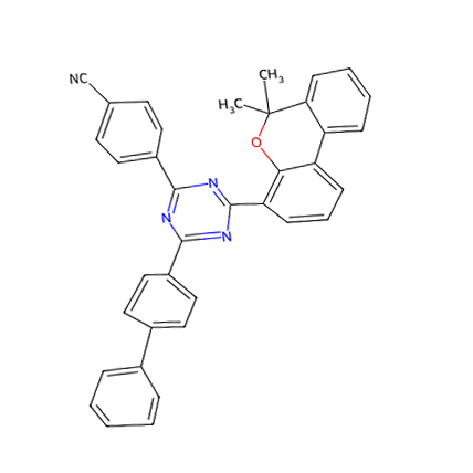 CC1(C)Oc2c(-c3nc(-c4ccc(C#N)cc4)nc(-c4ccc(-c5ccccc5)cc4)n3)cccc2-c2ccccc21